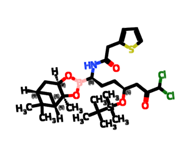 CC1(C)[C@@H]2C[C@H]3OB([C@H](CC[C@@H](CC(=O)C(Cl)Cl)O[Si](C)(C)C(C)(C)C)NC(=O)Cc4cccs4)O[C@@]3(C)[C@H]1C2